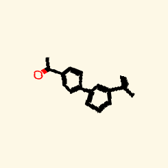 C=C(C)c1cccc(-c2ccc(C(C)=O)cc2)c1